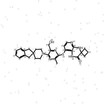 Cc1nc(N2CCC3(CC2)Cc2ccccc2C3)c(CO)nc1Sc1ccnc2c1NC(=O)C1(CCC1)N2